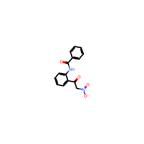 O=C(Nc1ccccc1C(=O)C[N+](=O)[O-])c1ccccc1